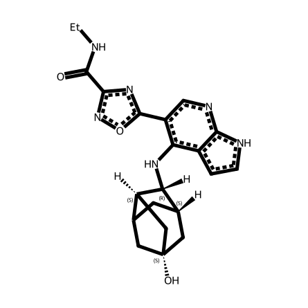 CCNC(=O)c1noc(-c2cnc3[nH]ccc3c2N[C@@H]2[C@H]3CC4C[C@](O)(C3)C[C@@H]42)n1